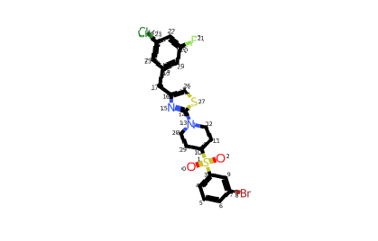 O=S(=O)(c1cccc(Br)c1)C1CCN(c2nc(Cc3cc(F)cc(Cl)c3)cs2)CC1